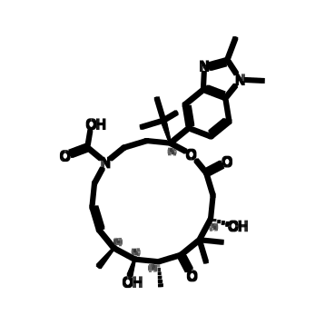 Cc1nc2cc([C@@]3(C(C)(C)C)CCN(C(=O)O)CC=C[C@H](C)[C@H](O)[C@@H](C)C(=O)C(C)(C)[C@@H](O)CC(=O)O3)ccc2n1C